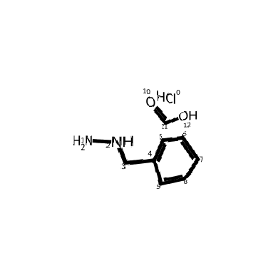 Cl.NNCc1ccccc1.O=CO